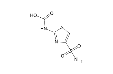 NS(=O)(=O)c1csc(NC(=O)O)n1